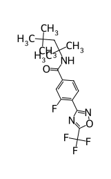 CC(C)(C)CC(C)(C)NC(=O)c1ccc(-c2noc(C(F)(F)F)n2)c(F)c1